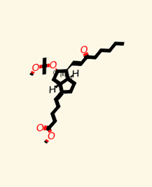 CCCCCC(=O)C=C[C@H]1[C@H]2CCC(=CCCCC(=O)OC)[C@@H]2C[C@@H]1OC(C)(C)OC